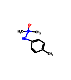 Cc1ccc(N[N+](C)(C)[O-])cc1